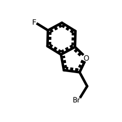 Fc1ccc2oc(CBr)cc2c1